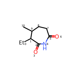 CCC1C(=O)NC(=O)CCC1C